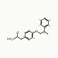 CCOC(=O)C(Cl)Cc1ccc(OCC(C)c2ccccc2)cc1